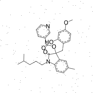 COc1ccc(CC2(OC(=O)c3cccnc3)C(=O)N(CCCC(C)C)c3ccc(C)cc32)c(O)c1